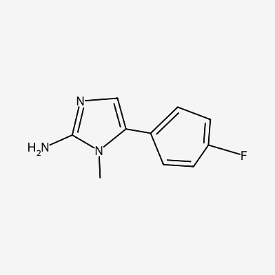 Cn1c(-c2ccc(F)cc2)cnc1N